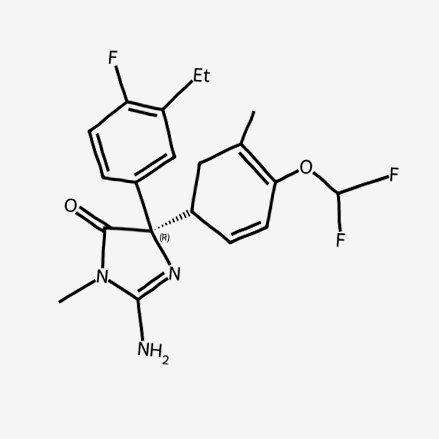 CCc1cc([C@@]2(C3C=CC(OC(F)F)=C(C)C3)N=C(N)N(C)C2=O)ccc1F